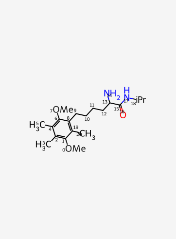 COc1c(C)c(C)c(OC)c(CCCCC(N)C(=O)NC(C)C)c1C